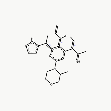 C=C/C(F)=c1/c(/C(=C\C)C(C)=N)cc(N2CCOCC2C)n/c1=C(/C)c1ccn[nH]1